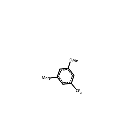 CNc1cc(OC)cc(C(F)(F)F)c1